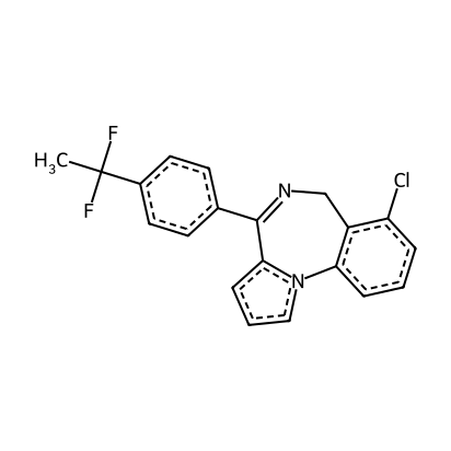 CC(F)(F)c1ccc(C2=NCc3c(Cl)cccc3-n3cccc32)cc1